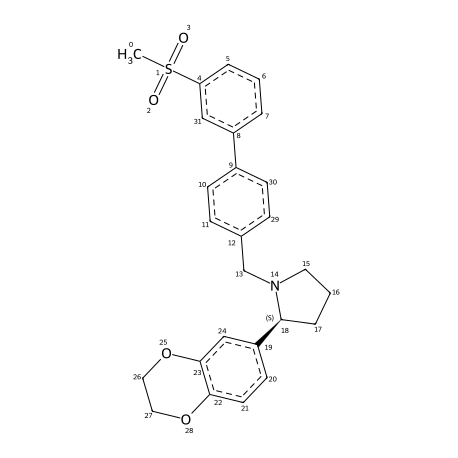 CS(=O)(=O)c1cccc(-c2ccc(CN3CCC[C@H]3c3ccc4c(c3)OCCO4)cc2)c1